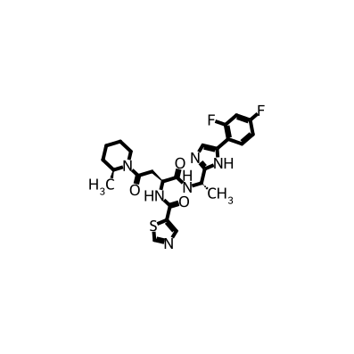 C[C@H](NC(=O)[C@H](CC(=O)N1CCCC[C@@H]1C)NC(=O)c1cncs1)c1ncc(-c2ccc(F)cc2F)[nH]1